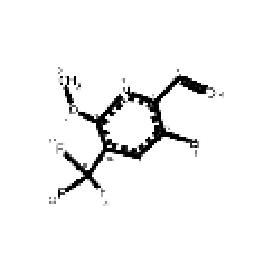 COc1nc(C=O)c(Br)cc1C(F)(F)F